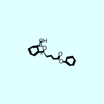 O=C(CCC[C@@H]1OB(O)c2ccccc21)Oc1ccccc1